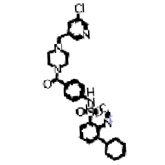 C/C=N\c1c(C2CCCCC2)cccc1S(=O)(=O)Nc1ccc(C(=O)N2CCN(Cc3cncc(Cl)c3)CC2)cc1